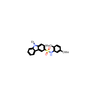 CCn1c2ccccc2c2cc(S(=O)(=O)Nc3cc(OC)ccc3OC)ccc21